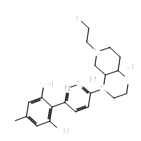 Cc1cc(Cl)cc(O)c1-c1ccc(N2CCO[C@@H]3CCN(CCF)C[C@@H]32)nn1